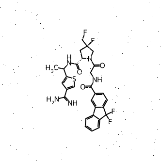 CC(NC(=O)[C@@H]1C[C@](F)(CF)CN1C(=O)CNC(=O)c1ccc2c(c1)-c1ccccc1C2(F)F)c1cc(C(=N)N)cs1